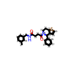 Cc1cccc(CNC(=O)CCC(=O)N2CCc3sccc3C2c2ccccc2)c1